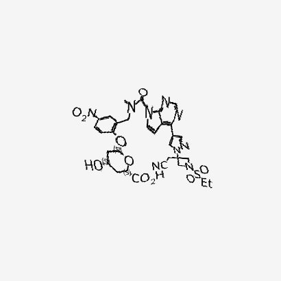 CCS(=O)(=O)N1CC(CC#N)(n2cc(-c3ncnc4c3ccn4C(=O)N(C)Cc3cc([N+](=O)[O-])ccc3O[C@H]3C[C@@H](O)C[C@@H](C(=O)O)O3)cn2)C1